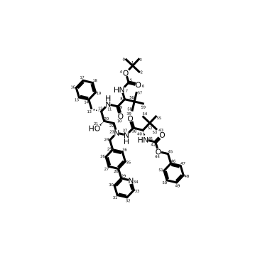 CC(C)(C)OC(=O)NC(C(=O)N[C@@H](Cc1ccccc1)[C@@H](O)CN(Cc1ccc(-c2ccccn2)cc1)NC(=O)[C@@H](NC(=O)OCc1ccccc1)C(C)(C)C)C(C)(C)C